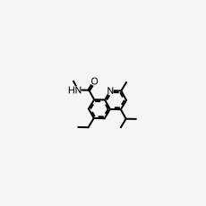 CCc1cc(C(=O)NC)c2nc(C)cc(C(C)C)c2c1